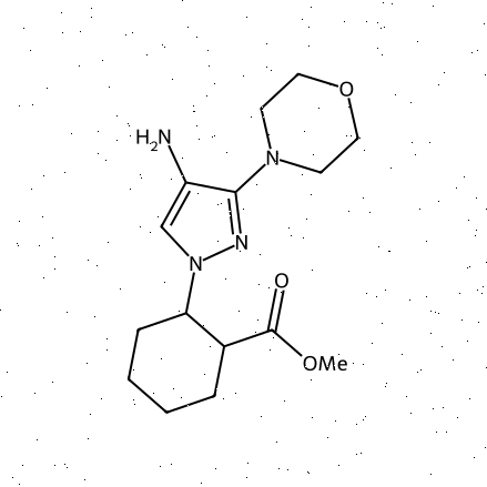 COC(=O)C1CCCCC1n1cc(N)c(N2CCOCC2)n1